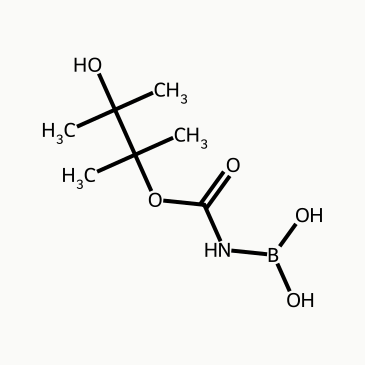 CC(C)(O)C(C)(C)OC(=O)NB(O)O